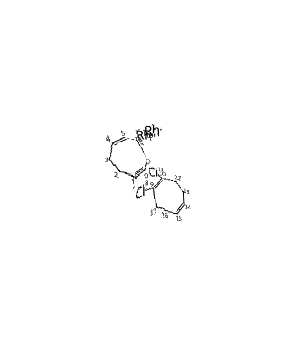 C1=C\CC/C=C\CC/1.Cl/C1=C(\Cl)CC/C=C\CC1.[Rh].[Rh]